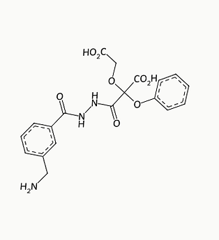 NCc1cccc(C(=O)NNC(=O)C(OCC(=O)O)(Oc2ccccc2)C(=O)O)c1